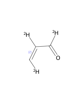 [2H]/C=C(/[2H])C([2H])=O